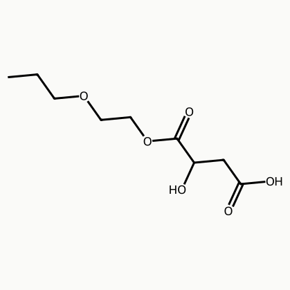 CCCOCCOC(=O)C(O)CC(=O)O